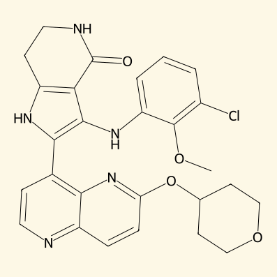 COc1c(Cl)cccc1Nc1c(-c2ccnc3ccc(OC4CCOCC4)nc23)[nH]c2c1C(=O)NCC2